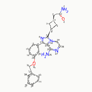 NC(=O)C[C@H]1C[C@@H](c2nc(-c3cccc(OCc4ccccc4)c3)c3c(N)nccn32)C1